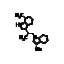 Cc1cccc2c(C(C)Cn3cc(C(C)(C)C)c4ccccc43)c[nH]c12